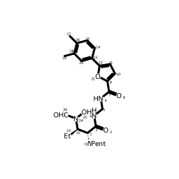 CCCCC[C@@H](C(=O)NCNC(=O)c1ccc(-c2ccc(C)c(C)c2)o1)[C@@H](CC)N(O)C=O